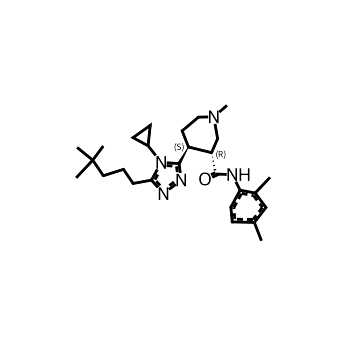 Cc1ccc(NC(=O)[C@H]2CN(C)CC[C@@H]2c2nnc(CCCC(C)(C)C)n2C2CC2)c(C)c1